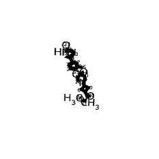 CN(C)C(=O)C1CC(N2CCC3(CC2)OCc2cc(-c4ccc(=O)[nH]c4)ccc2O3)C1